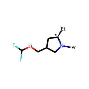 CC[C@@H]1CC(COC(F)F)CN1C(C)C